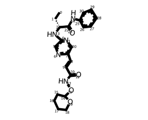 CC[C@@H](Nc1cnc(/C=C/C(=O)NOC2CCCCO2)cn1)C(=O)Nc1ccccc1